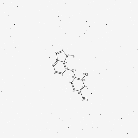 Cn1ccc2cccc(Oc3ccc(N)cc3Cl)c21